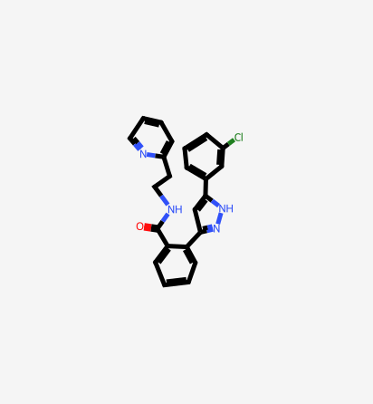 O=C(NCCc1ccccn1)c1ccccc1-c1cc(-c2cccc(Cl)c2)[nH]n1